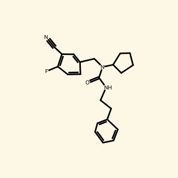 N#Cc1cc(CN(C(=O)NCCc2ccccc2)C2CCCC2)ccc1F